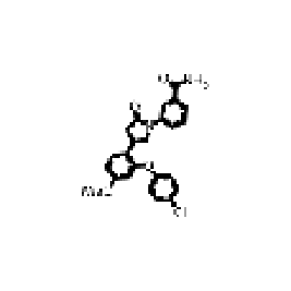 COc1ccc(C2CC(=O)N(c3cccc(C(N)=O)c3)C2)c(Oc2ccc(Cl)cc2)c1